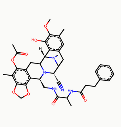 COc1c(C)cc2c(c1O)[C@H]1C3Cc4c(OC(C)=O)c(C)c5c(c4[C@H](CNC(=O)C(C)NC(=O)CCc4ccccc4)N3[C@@H](C#N)C(C2)N1C)OCO5